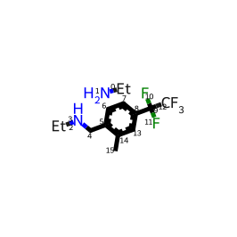 CCN.CCNCc1ccc(C(F)(F)C(F)(F)F)cc1C